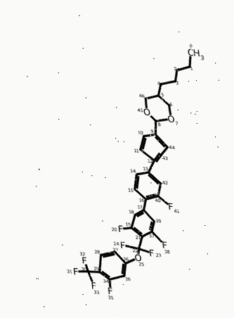 CCCCCC1COC(c2ccc(-c3ccc(-c4cc(F)c(C(F)(F)Oc5ccc(C(F)(F)F)c(F)c5)c(F)c4)c(F)c3)cc2)OC1